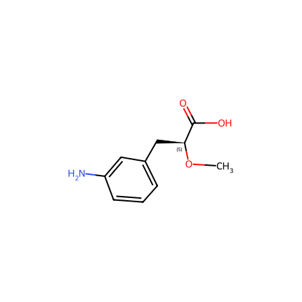 CO[C@@H](Cc1cccc(N)c1)C(=O)O